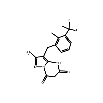 Cc1c(Cc2c(N)nn3c2NC(=O)CC3=O)cccc1C(F)(F)F